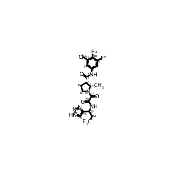 C[C@H]1[C@@H](C(=O)Nc2cc(F)c(F)c(Cl)c2)CCN1C(=O)C(=O)NC(CC(F)(F)F)c1c[nH]nn1